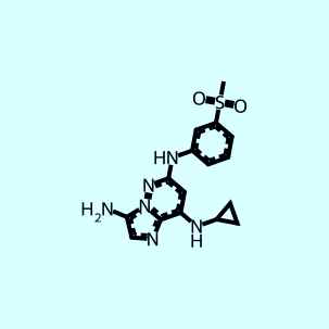 CS(=O)(=O)c1cccc(Nc2cc(NC3CC3)c3ncc(N)n3n2)c1